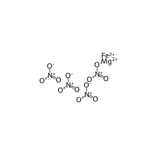 O=[N+]([O-])[O-].O=[N+]([O-])[O-].O=[N+]([O-])[O-].O=[N+]([O-])[O-].[Fe+2].[Mg+2]